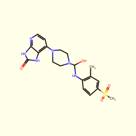 Cc1cc(S(C)(=O)=O)ccc1NC(O)N1CCN(c2ccnc3[nH]c(=O)[nH]c23)CC1